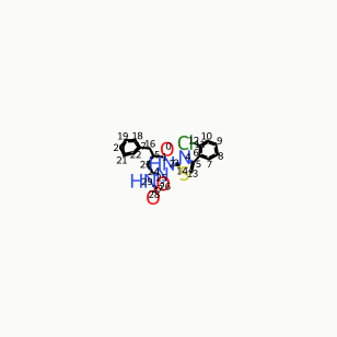 O=C(Nc1nc(-c2ccccc2Cl)cs1)C(Cc1ccccc1)Cc1noc(=O)[nH]1